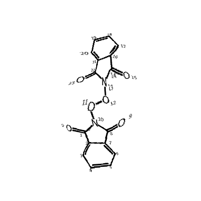 O=C1c2ccccc2C(=O)N1OON1C(=O)c2ccccc2C1=O